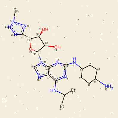 CCC(CC)Nc1nc(NC2CCC(N)CC2)nc2c1ncn2[C@@H]1O[C@H](c2nnn(C(C)C)n2)[C@@H](O)[C@H]1O